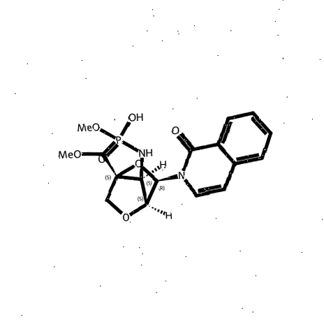 COC[C@@]12CO[C@H]([C@H](n3ccc4ccccc4c3=O)O1)[C@@H]2NP(=O)(O)OC